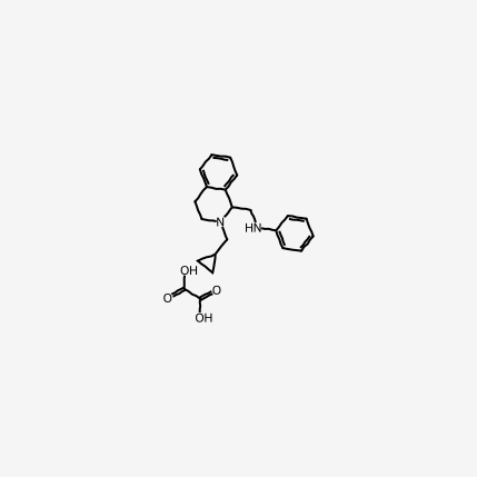 O=C(O)C(=O)O.c1ccc(NCC2c3ccccc3CCN2CC2CC2)cc1